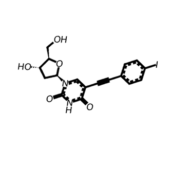 O=c1[nH]c(=O)n([C@H]2C[C@H](O)[C@@H](CO)O2)cc1C#Cc1ccc(I)cc1